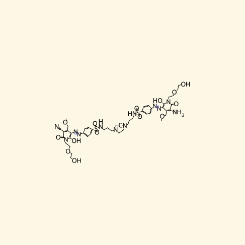 COCc1c(/N=N/c2ccc(S(=O)(=O)NCCCN3CCN(CCCNS(=O)(=O)c4ccc(/N=N/c5c(COC)c(C#N)c(=O)n(CCOCCO)c5O)cc4)CC3)cc2)c(O)n(CCOCCO)c(=O)c1N